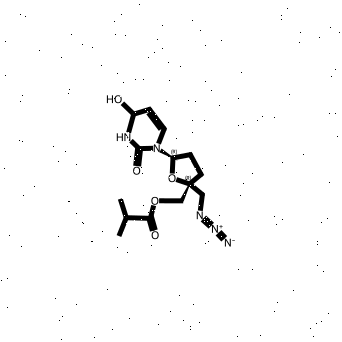 CC(C)C(=O)OC[C@]1(CN=[N+]=[N-])CC[C@H](N2C=CC(O)NC2=O)O1